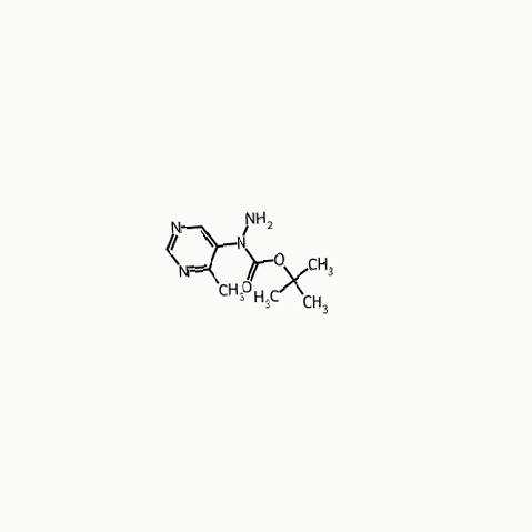 Cc1ncncc1N(N)C(=O)OC(C)(C)C